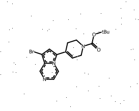 CC(C)(C)OC(=O)N1CC=C(c2cc(Br)c3cnccn23)CC1